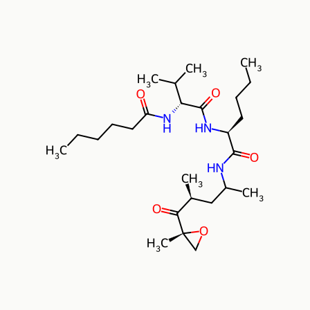 CCCCCC(=O)N[C@@H](C(=O)N[C@@H](CCCC)C(=O)NC(C)C[C@H](C)C(=O)[C@@]1(C)CO1)C(C)C